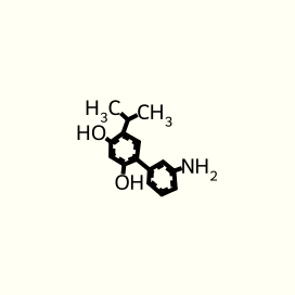 CC(C)c1cc(-c2cccc(N)c2)c(O)cc1O